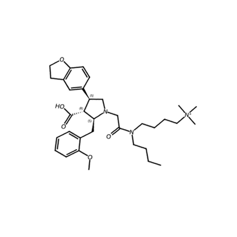 CCCCN(CCCC[N+](C)(C)C)C(=O)CN1C[C@H](c2ccc3c(c2)CCO3)[C@@H](C(=O)O)[C@@H]1Cc1ccccc1OC